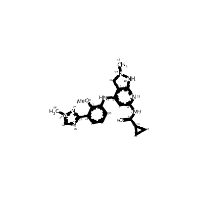 COc1c(Nc2cc(NC(=O)C3CC3)nc3c2CN(C)N3)cccc1-c1ncn(C)n1